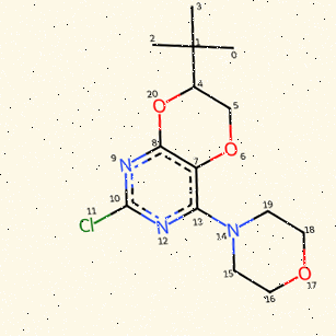 CC(C)(C)C1COc2c(nc(Cl)nc2N2CCOCC2)O1